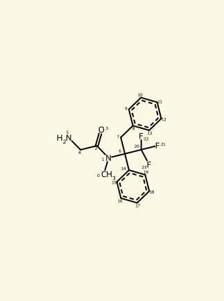 CN(C(=O)CN)C(Cc1ccccc1)(c1ccccc1)C(F)(F)F